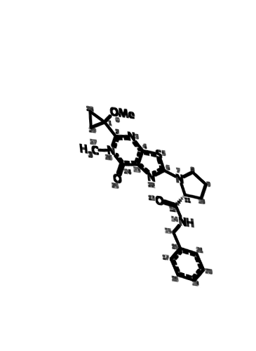 COC1(c2nc3sc(N4CCC[C@@H]4C(=O)NCc4ccccc4)nc3c(=O)n2C)CC1